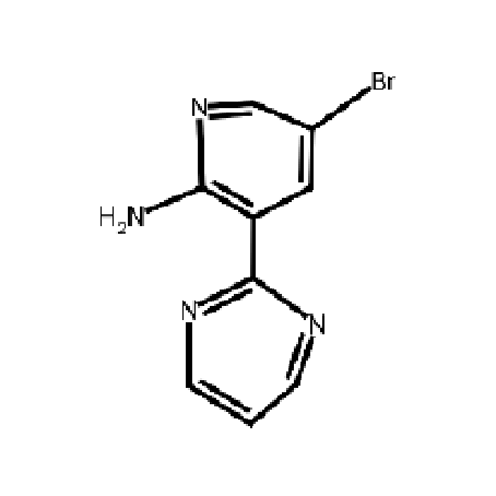 Nc1ncc(Br)cc1-c1ncccn1